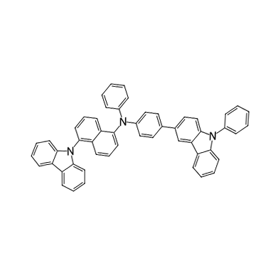 c1ccc(N(c2ccc(-c3ccc4c(c3)c3ccccc3n4-c3ccccc3)cc2)c2cccc3c(-n4c5ccccc5c5ccccc54)cccc23)cc1